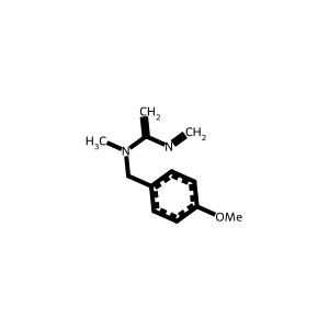 C=NC(=C)N(C)Cc1ccc(OC)cc1